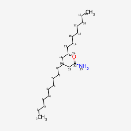 CCCCCCCCCCC(CCCCCCCCCC)CC(N)=O